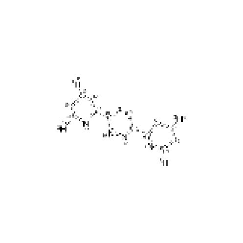 [3H]c1cc([3H])nc(-c2ccc(-c3cc([3H])cc([3H])n3)nn2)c1